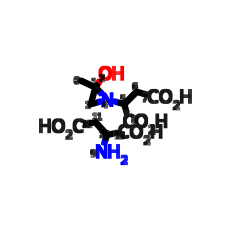 CC1(O)CN1C(CC(=O)O)C(=O)O.NC(CC(=O)O)C(=O)O